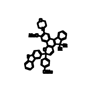 CCC1(CC)c2ccccc2-c2c1c1c(c3cc(OC)c(N4CCOCC4)cc23)OC(c2ccc(OC)cc2)(c2ccc3sc4ccccc4c3c2)C=C1